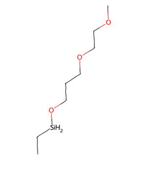 CC[SiH2]OCCCOCCOC